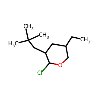 CCC1COC(Cl)C(CC(C)(C)C)C1